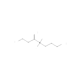 CCCCC(F)(F)C(C)CCO